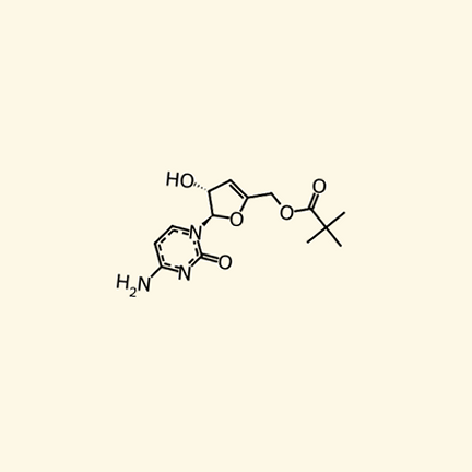 CC(C)(C)C(=O)OCC1=C[C@@H](O)[C@H](n2ccc(N)nc2=O)O1